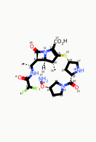 C[C@@H](NC(=O)C(F)F)[C@H]1C(=O)N2C(C(=O)O)=C(S[C@@H]3CN[C@H](C(=O)N4CC[C@H](ON)C4)C3)[C@H](C)[C@@H]12